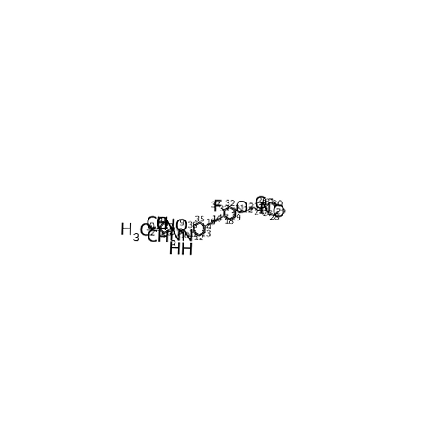 CC(C)(C)c1cc(NC(=O)Nc2ccc(C#Cc3ccc(OCCC[N+]4([O-])CCOCC4)cc3F)cc2)no1